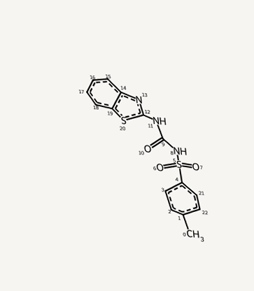 Cc1ccc(S(=O)(=O)NC(=O)Nc2nc3ccccc3s2)cc1